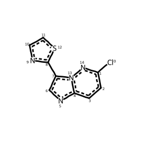 Clc1ccc2ncc(-c3nccs3)n2n1